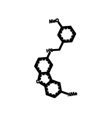 CNc1ccc2oc3ccc(NCc4cccc(OC)c4)cc3c2c1